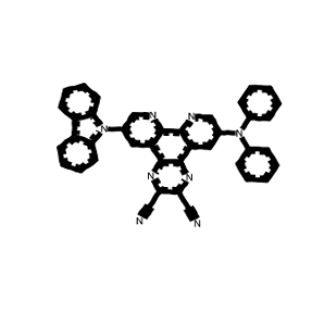 N#Cc1nc2c3cc(N(c4ccccc4)c4ccccc4)cnc3c3ncc(-n4c5ccccc5c5ccccc54)cc3c2nc1C#N